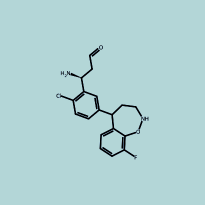 N[C@@H](CC=O)c1cc(C2CCNOc3c(F)cccc32)ccc1Cl